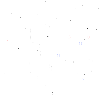 O=Cc1ccccc1-c1ccccc1Nc1cnccc1[N+](=O)[O-]